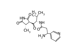 CC(C)[C@H](NC(=O)CC(N)c1cccnc1)C(=O)[C@@H]1C(=O)NC(=O)[C@H]1C